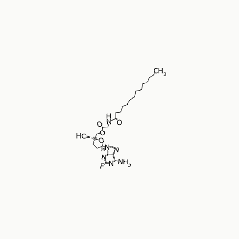 C#C[C@@]1(COC(=O)CNC(=O)CCCCCCCCCCCCC)CC[C@H](n2cnc3c(N)nc(F)nc32)O1